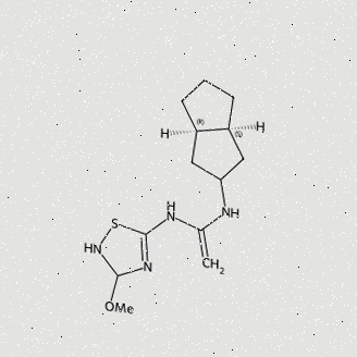 C=C(NC1=NC(OC)NS1)NC1C[C@H]2CCC[C@H]2C1